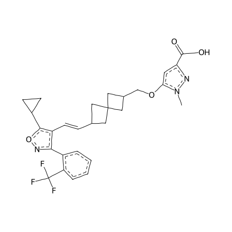 Cn1nc(C(=O)O)cc1OCC1CC2(CC(C=Cc3c(-c4ccccc4C(F)(F)F)noc3C3CC3)C2)C1